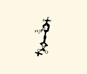 CC(C)(C)OC(=O)N1CC(C#Cc2ccc(C(F)(F)F)c[n+]2N)C1